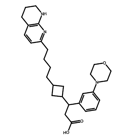 O=C(O)CC(c1cccc(N2CCOCC2)c1)C1CC(CCCCc2ccc3c(n2)NCCC3)C1